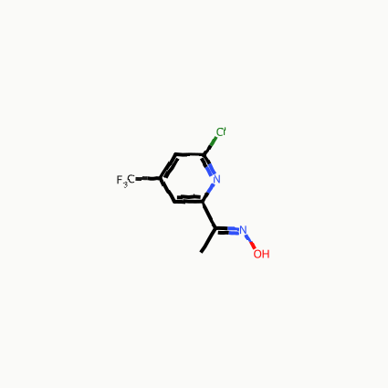 CC(=NO)c1cc(C(F)(F)F)cc(Cl)n1